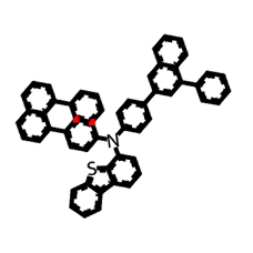 c1ccc(-c2cc(-c3ccc(N(c4ccc(-c5cccc6cccc(-c7ccccc7)c56)cc4)c4cccc5c4sc4ccccc45)cc3)cc3ccccc23)cc1